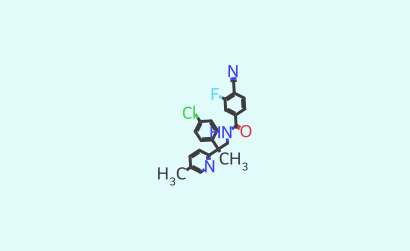 Cc1ccc(C(C)(CNC(=O)c2ccc(C#N)c(F)c2)c2ccc(Cl)cc2)nc1